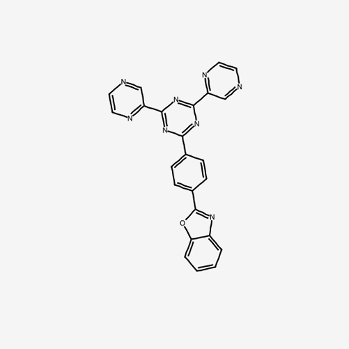 c1ccc2oc(-c3ccc(-c4nc(-c5cnccn5)nc(-c5cnccn5)n4)cc3)nc2c1